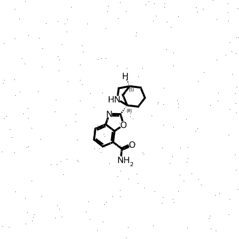 NC(=O)c1cccc2nc([C@]34CCC[C@H](CN3)C4)oc12